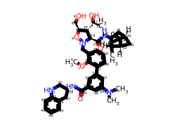 COc1c(CN2O[C@@H](CO)[C@H]([C@H](C)O)[C@H]2C(=O)NC2C[C@H]3C[C@@H]([C@@H]2C)C3(C)C)cccc1-c1cc(C(=O)NC2CNc3ccccc3C2)cc(N(C)C)c1